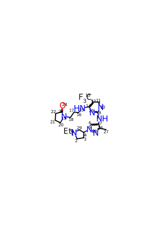 CCN1CCC(n2cc(Nc3ncc(C(F)(F)F)c(NCCCN4CCCC4=O)n3)c(C)n2)C1